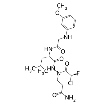 COc1cccc(NCC(=O)N[C@@H](CC(C)C)C(=O)NN(CCC(N)=O)C(=O)[C@@H](F)Cl)c1